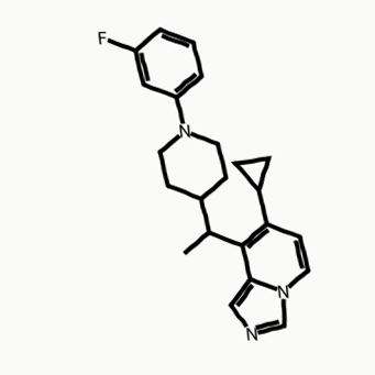 CC(c1c(C2CC2)ccn2cncc12)C1CCN(c2cccc(F)c2)CC1